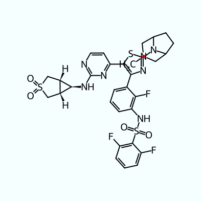 CN1CC2CCC(C1)N2c1nc(-c2cccc(NS(=O)(=O)c3c(F)cccc3F)c2F)c(-c2ccnc(N[C@H]3[C@@H]4CS(=O)(=O)C[C@@H]43)n2)s1